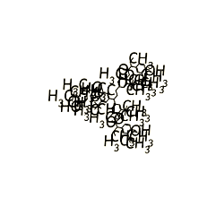 CCC(C(=O)Oc1c(C)cc(C(C)CC(c2cc(C)c(OC(=O)C(CC)c3ccc(O)c(C(C)(C)C)c3)c(C(C)(C)C)c2)c2cc(C)c(OC(=O)C(CC)c3ccc(O)c(C(C)(C)C)c3)c(C(C)(C)C)c2)cc1C(C)(C)C)c1ccc(O)c(C(C)(C)C)c1